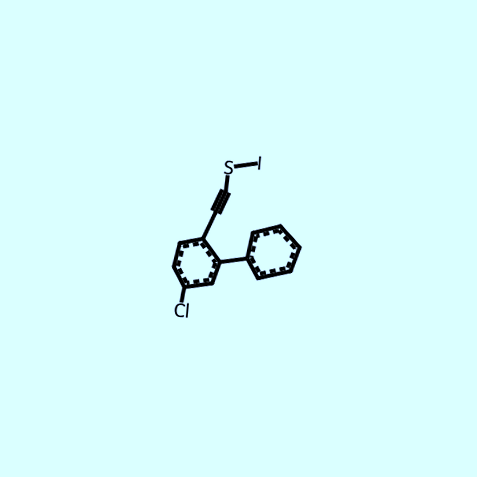 Clc1ccc(C#CSI)c(-c2ccccc2)c1